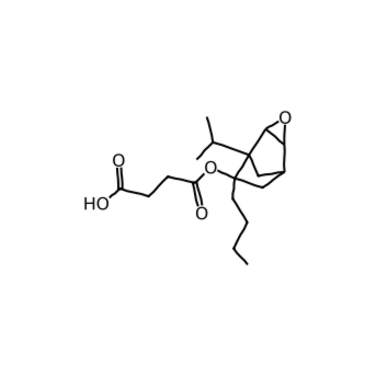 CCCCC1(OC(=O)CCC(=O)O)CC2CC1(C(C)C)C1OC21